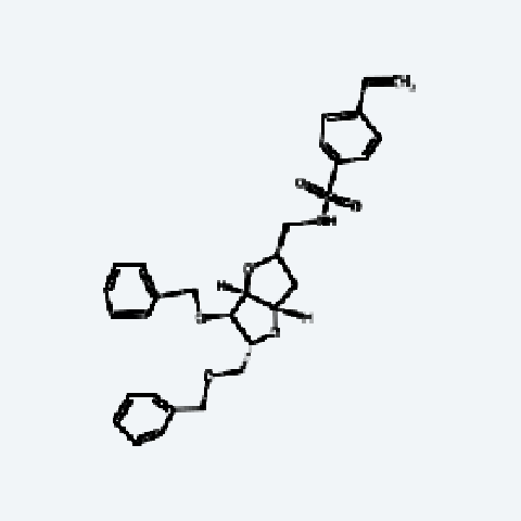 C=Cc1ccc(S(=O)(=O)NC[C@H]2C[C@@H]3O[C@H](COCc4ccccc4)[C@@H](OCc4ccccc4)[C@@H]3O2)cc1